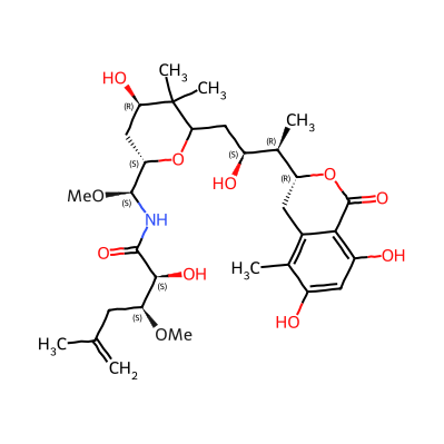 C=C(C)C[C@H](OC)[C@H](O)C(=O)N[C@@H](OC)[C@@H]1C[C@@H](O)C(C)(C)C(C[C@H](O)[C@@H](C)[C@H]2Cc3c(C)c(O)cc(O)c3C(=O)O2)O1